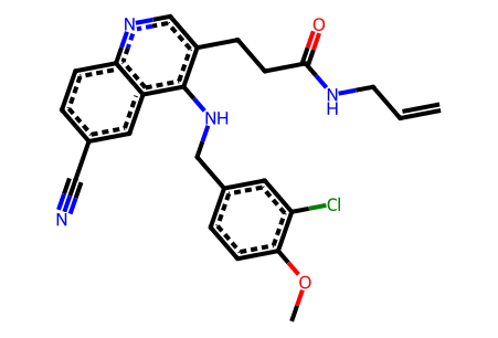 C=CCNC(=O)CCc1cnc2ccc(C#N)cc2c1NCc1ccc(OC)c(Cl)c1